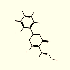 CCON=C(C)C1=C(O)CC(c2c(C)c(C)c(C)c(C)c2C)CC1=O